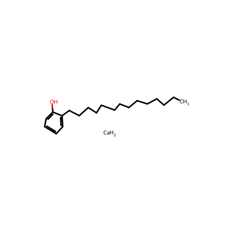 CCCCCCCCCCCCCCc1ccccc1O.[CaH2]